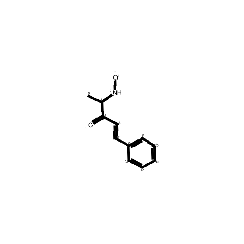 CC(NCl)C(=O)C=Cc1ccccc1